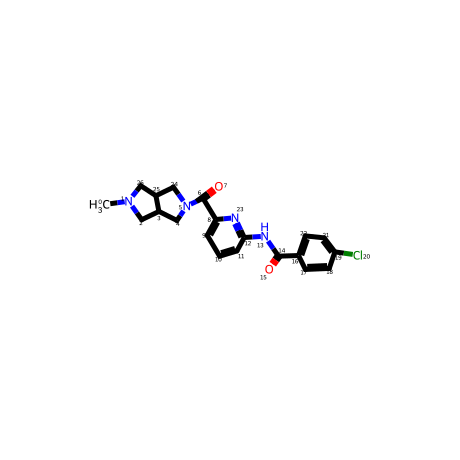 CN1CC2CN(C(=O)c3cccc(NC(=O)c4ccc(Cl)cc4)n3)CC2C1